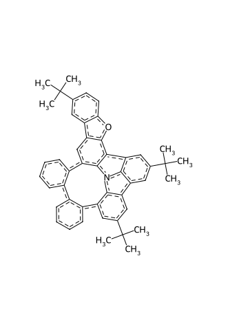 CC(C)(C)c1ccc2oc3c(cc4c5ccccc5c5ccccc5c5cc(C(C)(C)C)cc6c7cc(C(C)(C)C)cc8c3c4n(c56)c78)c2c1